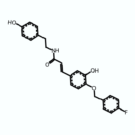 O=C(/C=C/c1ccc(OCc2ccc(F)cc2)c(O)c1)NCCc1ccc(O)cc1